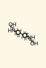 OCCNc1ccc(-c2ccc(NCCO)cc2)cc1